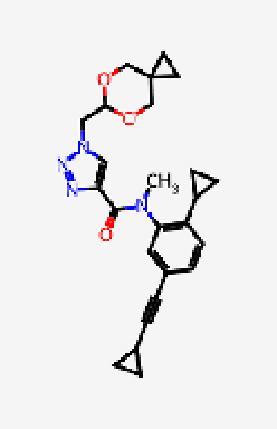 CN(C(=O)c1cn(CC2OCC3(CC3)CO2)nn1)c1cc(C#CC2CC2)ccc1C1CC1